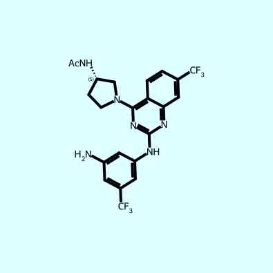 CC(=O)N[C@H]1CCN(c2nc(Nc3cc(N)cc(C(F)(F)F)c3)nc3cc(C(F)(F)F)ccc23)C1